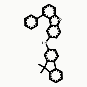 CC1(C)c2ccccc2-c2ccc(Nc3ccc4oc5cccc(-c6ccccc6)c5c4c3)cc21